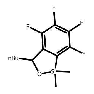 CCCCC1O[Si](C)(C)c2c(F)c(F)c(F)c(F)c21